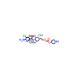 COc1nc(N)c(Cl)cc1C(=O)N[C@H]1CCN(CCOCC(=O)OC2CCNCC2)C[C@H]1OC.Cl